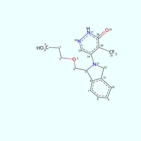 O=C(O)CCOCC1c2ccccc2CN1c1cn[nH]c(=O)c1C(F)(F)F